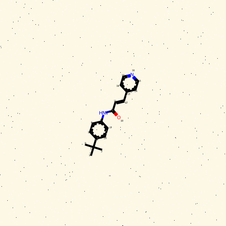 CC(C)(C)c1ccc(NC(=O)/C=C/c2ccncc2)cc1